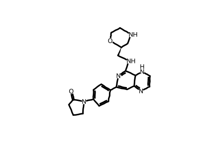 O=C1CCCN1c1ccc(C2=CC3=NC=CNC3C(NC[C@@H]3CNCCO3)=N2)cc1